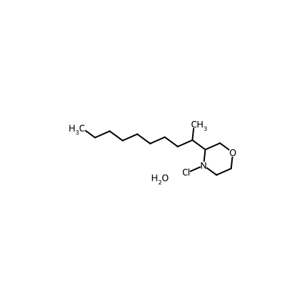 CCCCCCCCC(C)C1COCCN1Cl.O